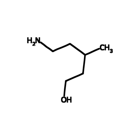 CC(CCN)CCO